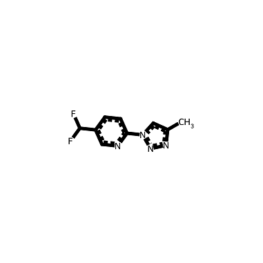 Cc1cn(-c2ccc(C(F)F)cn2)nn1